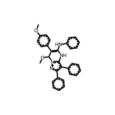 COc1ccc(C2=C(Nc3ccccc3)Nc3c(-c4ccccc4)c(-c4ccccc4)nn3C2OC)cc1